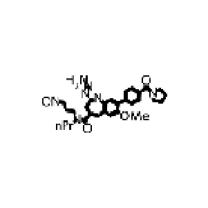 CCCN(CCCN=O)C(=O)C1=Cc2cc(OC)c(-c3ccc(C(=O)N4CCCC4)cc3)cc2N=C(N=NN)C1